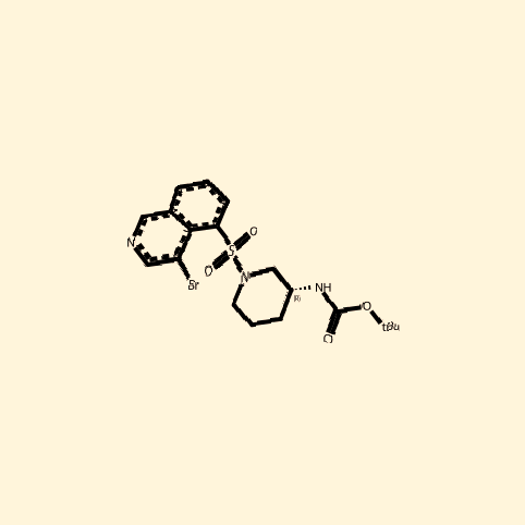 CC(C)(C)OC(=O)N[C@@H]1CCCN(S(=O)(=O)c2cccc3cncc(Br)c23)C1